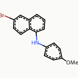 COc1ccc(Nc2cccc3cc(Br)ccc23)cc1